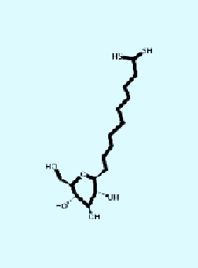 OC[C@H]1O[C@@H](CCCCCCCCCC(S)S)[C@H](O)[C@@H](O)[C@@H]1O